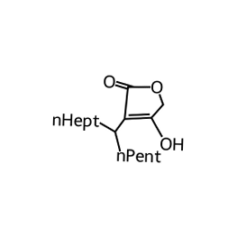 CCCCCCCC(CCCCC)C1=C(O)COC1=O